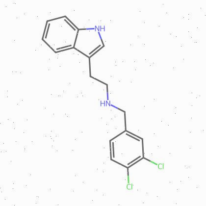 Clc1ccc(CNCCc2c[nH]c3ccccc23)cc1Cl